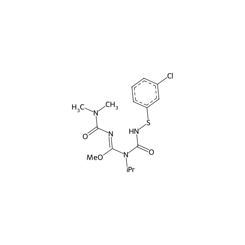 COC(=NC(=O)N(C)C)N(C(=O)NSc1cccc(Cl)c1)C(C)C